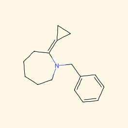 c1ccc(CN2CCCCCC2=C2CC2)cc1